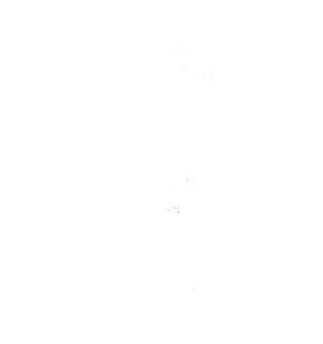 O=C(O)c1ccc(Cc2ccc3ccc(C(=O)NCc4ccc(Cl)cc4)cc3c2)cc1